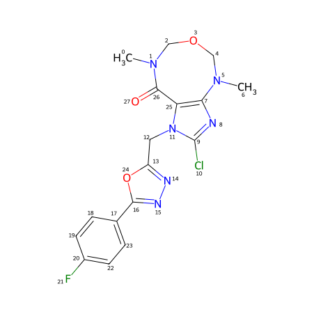 CN1COCN(C)c2nc(Cl)n(Cc3nnc(-c4ccc(F)cc4)o3)c2C1=O